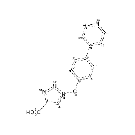 O=C(O)c1cn(Oc2ccc(-c3ccncc3)cc2)nn1